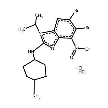 CC(C)n1c(NC2CCC(N)CC2)nc2c([N+](=O)[O-])c(Br)c(Br)cc21.Cl.Cl